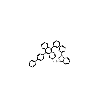 CC1Cc2c(c(-c3ccccc3)c3ccccc3c2C2C=CC(c3ccccc3)=CC2)C=C1[C@H]1NC2C=CC=CC2N1c1ccccc1